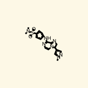 CN(C)S(=O)(=O)c1ccc(NC2=NC=CN3C2=NCC3c2cnn(C)c2)cc1